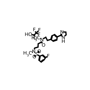 CN(CCc1ccc(C2=NCCN2)cc1)C(=O)CCCN(C)S(=O)(=O)c1cccc(F)c1.O=C(O)C(F)(F)F